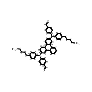 CCCCCc1ccc(N(c2ccc(C=O)cc2)c2ccc3c4ccc(N(c5ccc(C=O)cc5)c5ccc(CCCCC)cc5)cc4c4ccccc4c3c2)cc1